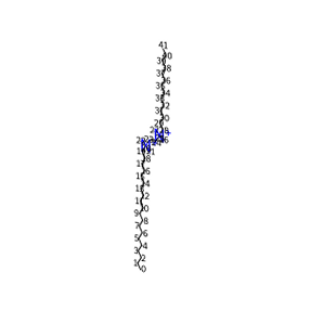 CCCCCCCCCCCCCCCCCCCC[N+](C)(C)CC[N+](C)(C)CCCCCCCCCCCCCC